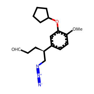 COc1ccc([C@H](CCC=O)CN=[N+]=[N-])cc1OC1CCCC1